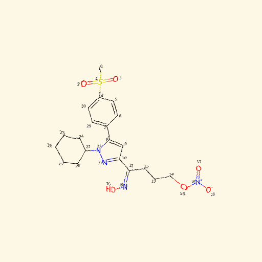 CS(=O)(=O)c1ccc(-c2cc(/C(CCCO[N+](=O)[O-])=N\O)nn2C2CCCCC2)cc1